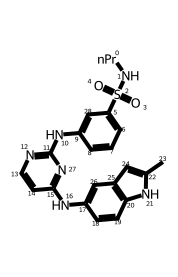 CCCNS(=O)(=O)c1cccc(Nc2nccc(Nc3ccc4[nH]c(C)cc4c3)n2)c1